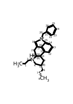 CCCN1C[C@H](CSC)CC2c3cccc4c3c(cn4Cc3ccccc3)C[C@H]21